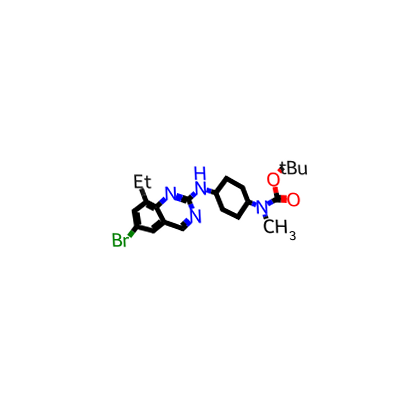 CCc1cc(Br)cc2cnc(NC3CCC(N(C)C(=O)OC(C)(C)C)CC3)nc12